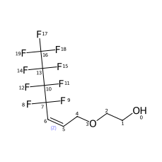 OCCOC/C=C\C(F)(F)C(F)(F)C(F)(F)C(F)(F)F